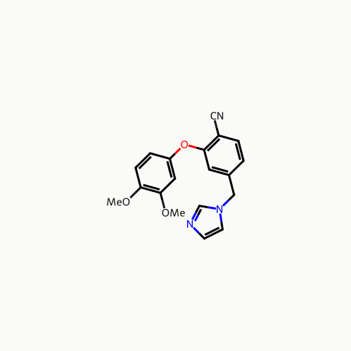 COc1ccc(Oc2cc(Cn3ccnc3)ccc2C#N)cc1OC